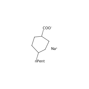 CCCCCC1CCC(C(=O)[O-])CC1.[Na+]